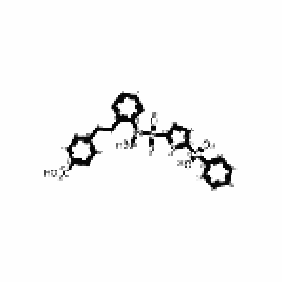 CCCCN(c1ccccc1CCc1ccc(C(=O)O)cc1)S(=O)(=O)c1ccc(S(=O)(=O)c2ccccc2)s1